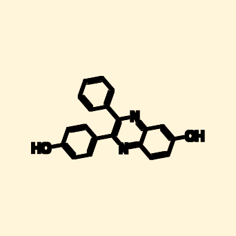 Oc1ccc(-c2nc3ccc(O)cc3nc2-c2ccccc2)cc1